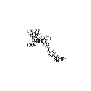 Cc1cc(OCCCC2CCN(c3nc(C(C)C)no3)CC2)ccc1C[C@H](NC(=O)OC(C)(C)C)C(=O)N1CCC[C@H]1C(N)=O